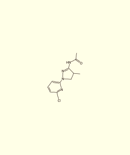 CC(=O)NC1=NN(c2cccc(Cl)n2)CC1C